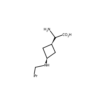 CC(C)CN[C@H]1C[C@@H](C(N)C(=O)O)C1